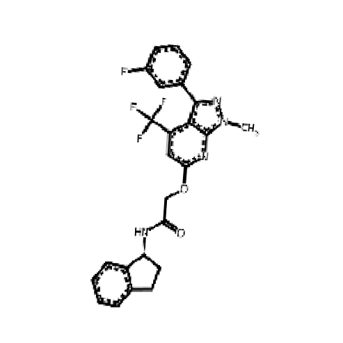 Cn1nc(-c2cccc(F)c2)c2c(C(F)(F)F)cc(OCC(=O)N[C@H]3CCc4ccccc43)nc21